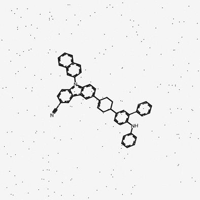 N#Cc1ccc2c(c1)c1cc(C3=CCC(c4ccc(Nc5ccccc5)c(-c5ccccc5)c4)CC3)ccc1n2-c1ccc2ccccc2c1